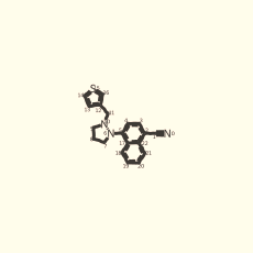 N#Cc1ccc(N2CCCN2Cc2ccsc2)c2ccccc12